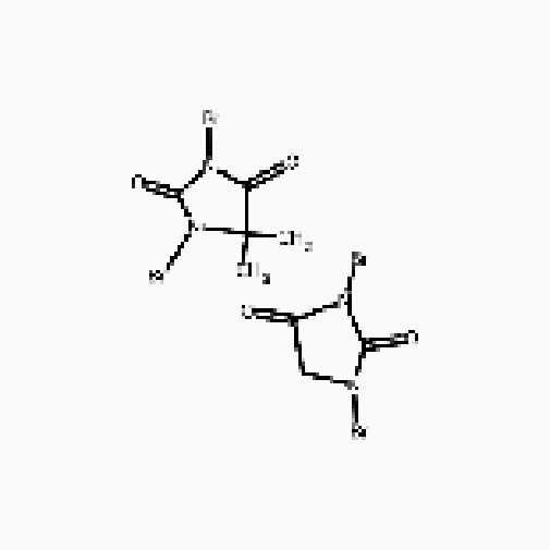 CC1(C)C(=O)N(Br)C(=O)N1Br.O=C1CN(Br)C(=O)N1Br